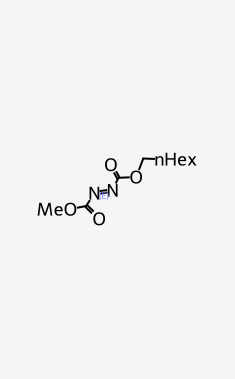 CCCCCCCOC(=O)/N=N/C(=O)OC